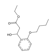 CCCCOc1ccccc1C(O)CC(=O)OCC